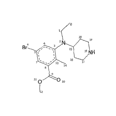 CCN(c1cc(Br)cc(C(=O)OC)c1C)C1CCNCC1